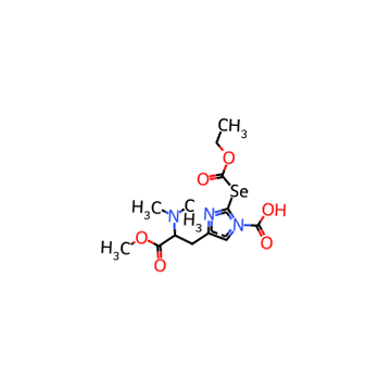 CCOC(=O)[Se]c1nc(CC(C(=O)OC)N(C)C)cn1C(=O)O